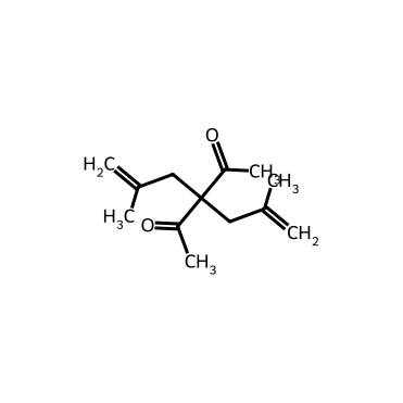 C=C(C)CC(CC(=C)C)(C(C)=O)C(C)=O